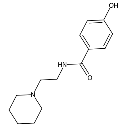 O=C(NCCN1CCCCC1)c1ccc(O)cc1